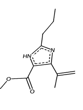 C=C(C)c1nc(CCC)[nH]c1C(=O)OCC